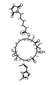 C/C(=C\c1csc(C)n1)[C@@H]1C[C@@H]2O[C@]2(C)CCC[C@H](C)[C@H](OC(=O)CCCCCN2C(=O)C=CC2=O)[C@@H](C)C(=O)C(C)(C)[C@@H](O)CC(=O)O1